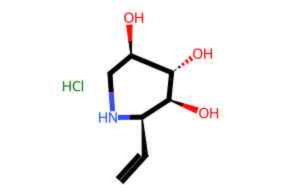 C=C[C@H]1NC[C@@H](O)[C@H](O)[C@H]1O.Cl